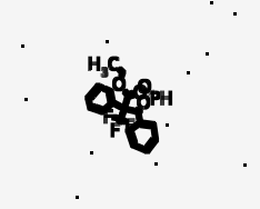 CCOC(=O)C(C(=O)c1ccccc1)(c1ccccc1)C(F)(F)F.O=P